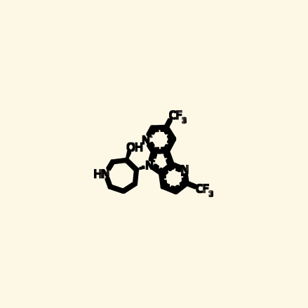 O[C@@H]1CNCCC[C@H]1n1c2ccc(C(F)(F)F)nc2c2cc(C(F)(F)F)cnc21